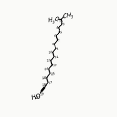 CC(C)CCCCCCCCCCCCCCCC#CO